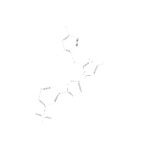 CCOC(=O)C(c1ccc(Cl)cc1Cl)c1nc(C(F)(F)F)cn1-c1ccc(-c2cccc(S(C)(=O)=O)c2)s1